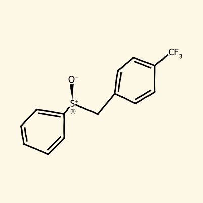 [O-][S@@+](Cc1ccc(C(F)(F)F)cc1)c1ccccc1